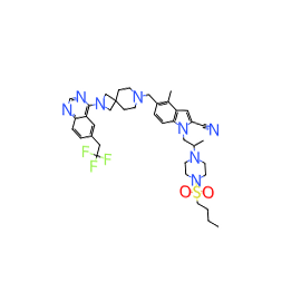 CCCCS(=O)(=O)N1CCN(C(C)Cn2c(C#N)cc3c(C)c(CN4CCC5(CC4)CN(c4ncnc6ccc(CC(F)(F)F)cc46)C5)ccc32)CC1